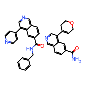 NC(=O)c1ccc2cncc(C3=CCOCC3)c2c1.O=C(NCc1ccccc1)c1ccc2cncc(-c3ccncc3)c2c1